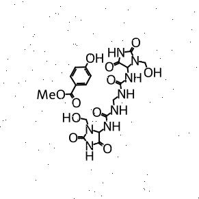 COC(=O)c1ccc(O)cc1.O=C(NCNC(=O)NC1C(=O)NC(=O)N1CO)NC1C(=O)NC(=O)N1CO